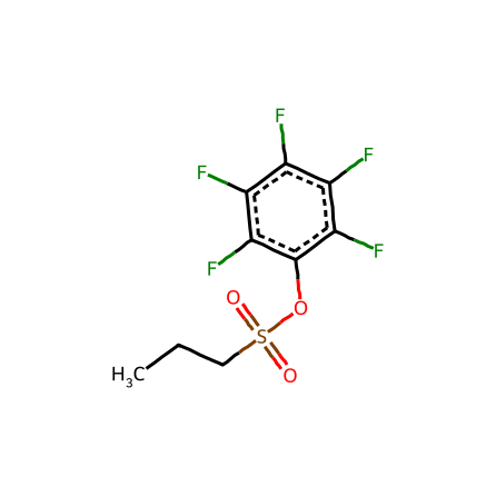 CCCS(=O)(=O)Oc1c(F)c(F)c(F)c(F)c1F